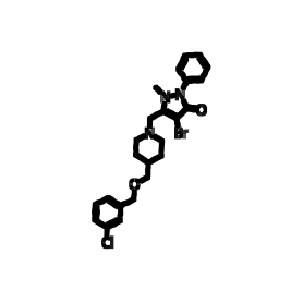 Cn1c(CN2CCC(COCc3cccc(Cl)c3)CC2)c(Br)c(=O)n1-c1ccccc1